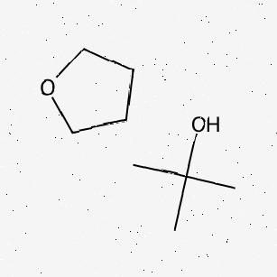 C1CCOC1.CC(C)(C)O